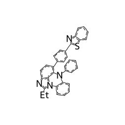 CCc1nc2ccc(-c3ccc(-c4nc5ccccc5s4)cc3)c3c2n1-c1ccccc1N3c1ccccc1